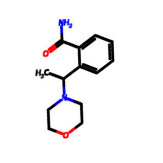 CC(c1ccccc1C(N)=O)N1CCOCC1